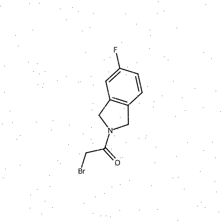 O=C(CBr)N1Cc2ccc(F)cc2C1